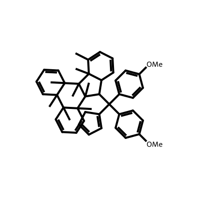 COc1ccc(C(C2=CC=CC2)(c2ccc(OC)cc2)C2C3C=CC=C(C)C3(C)C3(C)C4(C)C=CC=CC4(C)C4(C)C=CC=CC4(C)C23C)cc1